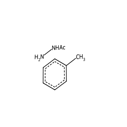 CC(=O)NN.Cc1ccccc1